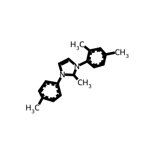 Cc1ccc(N2C=CN(c3ccc(C)cc3C)C2C)cc1